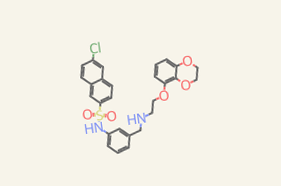 O=S(=O)(Nc1cccc(CNCCOc2cccc3c2OCCO3)c1)c1ccc2cc(Cl)ccc2c1